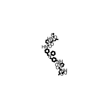 CCC[C@H](NC(=O)OC)C(=O)N1CCC[C@H]1C(=O)Nc1ccc(CN(Cc2ccc(NC(=O)[C@@H]3CCCN3C(=O)[C@H](CCC)NC(=O)OC)cc2)c2ccccc2)cc1